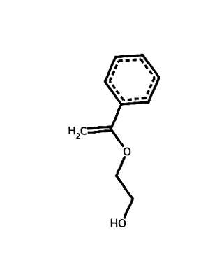 C=C(OCCO)c1ccccc1